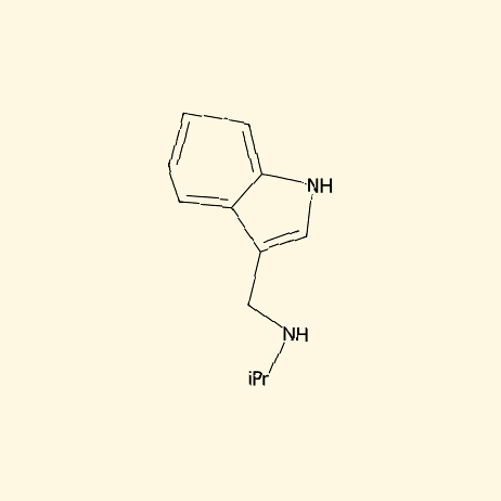 CC(C)NCc1c[nH]c2ccccc12